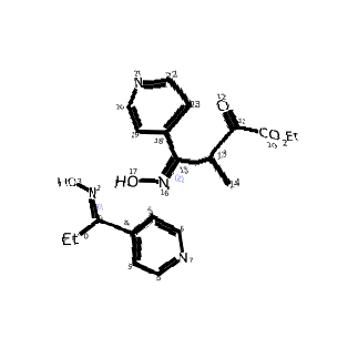 CC/C(=N\O)c1ccncc1.CCOC(=O)C(=O)C(C)/C(=N/O)c1ccncc1